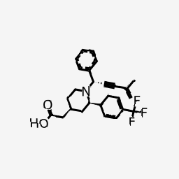 C=C(C)C#C[C@@H](c1ccccc1)N1CC[C@H](CC(=O)O)C[C@@H]1C1C=CC(C(F)(F)F)=CC1